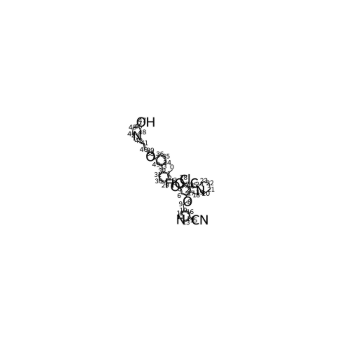 Cc1c(COc2cc(OCc3cncc(C#N)c3)c(CN3CCCC[C@H]3C(=O)O)cc2Cl)cccc1-c1cccc(OCC=CCN2CC[C@@H](O)C2)c1